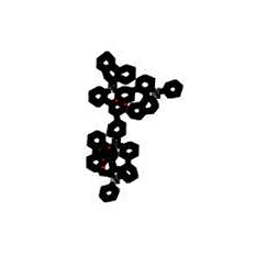 c1ccc(-n2c3cccc(-c4cccc(N(c5ccc(-c6cccc(-c7ccccc7N(c7cccc(-c8cccc9c8c8c%10ccccc%10ccc8n9-c8ccccc8)c7)c7cc8ccccc8c8ccccc78)c6)cc5)c5cc6ccccc6c6ccccc56)c4)c3c3c4ccccc4ccc32)cc1